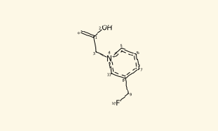 C=C(O)C[n+]1cccc(CF)c1